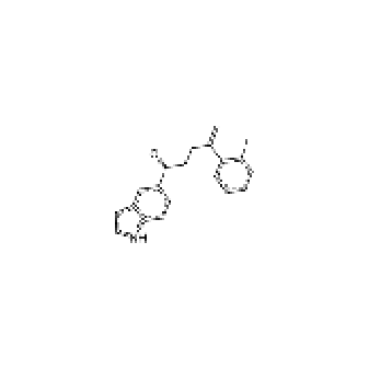 C=C(CCC(=O)c1ccc2[nH]ccc2c1)c1ccccc1C